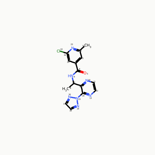 Cc1cc(C(=O)NC(C)c2nccnc2-n2nccn2)cc(Cl)n1